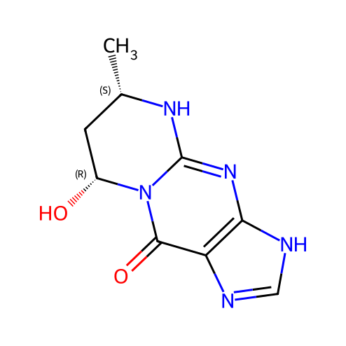 C[C@H]1C[C@@H](O)n2c(nc3[nH]cnc3c2=O)N1